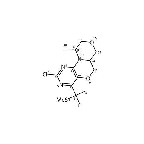 CSC(C)(C)c1nc(Cl)nc2c1OCC1COC[C@@H](C)N21